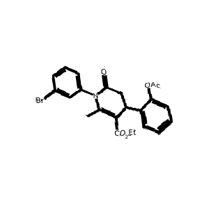 CCOC(=O)C1=C(C)N(c2cccc(Br)c2)C(=O)CC1c1ccccc1OC(C)=O